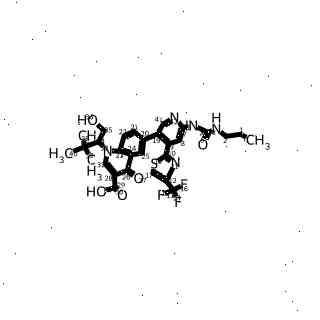 CCCNC(=O)Nc1cc(-c2nc(C(F)(F)F)cs2)c(-c2ccc3c(c2)c(=O)c(C(=O)O)cn3C(CO)C(C)(C)C)cn1